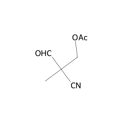 CC(=O)OCC(C)(C#N)C=O